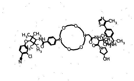 Cc1ncsc1-c1ccc([C@H](C)NC(=O)[C@@H]2C[C@@H](O)CN2C(=O)C(NC(=O)CN2CCOCCOCCN(c3ccc(C(=O)N[C@H]4C(C)(C)[C@H](Oc5ccc(C#N)c(Cl)c5)C4(C)C)cc3)CCOCCOCC2)C(C)(C)C)cc1